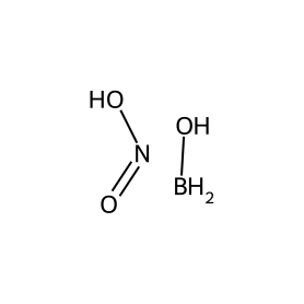 BO.O=NO